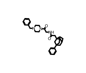 O=C(CC12CC3CC1CC(c1ccccc1)(C3)C2)NCC(=O)N1CCN(Cc2ccccc2)CC1